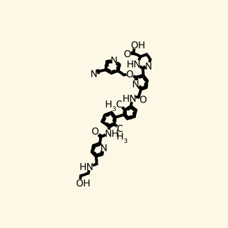 Cc1c(NC(=O)c2ccc(CNCCO)cn2)cccc1-c1cccc(NC(=O)c2ccc(C3=NCCC(C(=O)O)N3)c(OCc3cncc(C#N)c3)n2)c1C